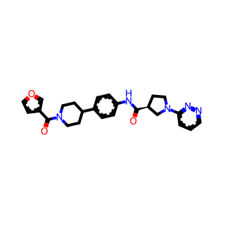 O=C(Nc1ccc(C2CCN(C(=O)c3ccoc3)CC2)cc1)[C@H]1CCN(c2cccnn2)C1